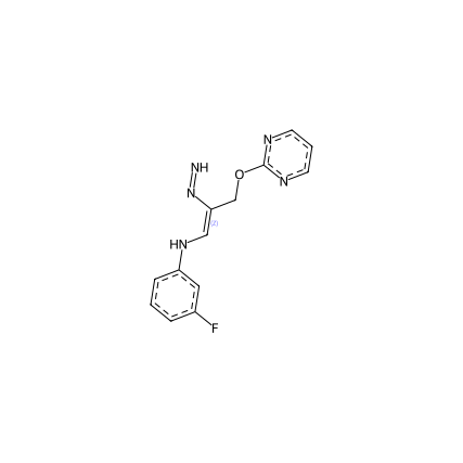 N=N/C(=C\Nc1cccc(F)c1)COc1ncccn1